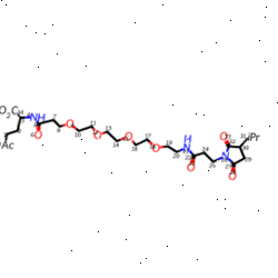 CC(=O)CC[C@H](NC(=O)CCOCCOCCOCCOCCNC(=O)CCN1C(=O)CC(C(C)C)C1=O)C(=O)O